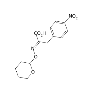 O=C(O)/C(Cc1ccc([N+](=O)[O-])cc1)=N/OC1CCCCO1